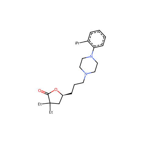 CCC1(CC)C[C@H](CCCN2CCN(c3ccccc3C(C)C)CC2)OC1=O